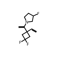 C=CC1(C(=C)N2CCC(F)C2)CC(F)(F)C1